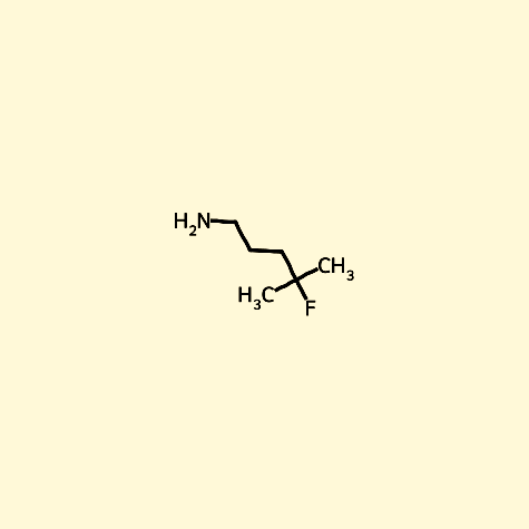 CC(C)(F)CCCN